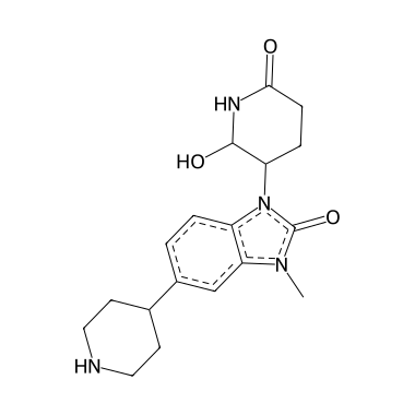 Cn1c(=O)n(C2CCC(=O)NC2O)c2ccc(C3CCNCC3)cc21